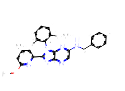 CCOc1cccc(-c2nc3ncc(NCc4ccccc4)nc3n2-c2c(OC)cccc2OC)n1